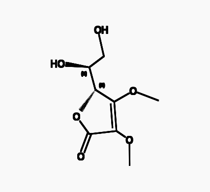 COC1=C(OC)[C@@H]([C@@H](O)CO)OC1=O